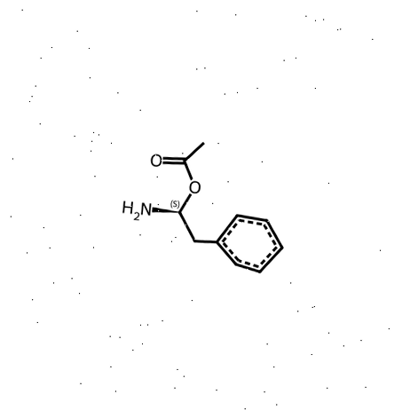 CC(=O)O[C@H](N)Cc1ccccc1